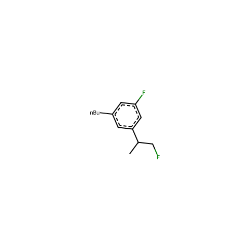 CCCCc1cc(F)cc([C](C)CF)c1